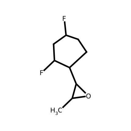 CC1OC1C1CCC(F)CC1F